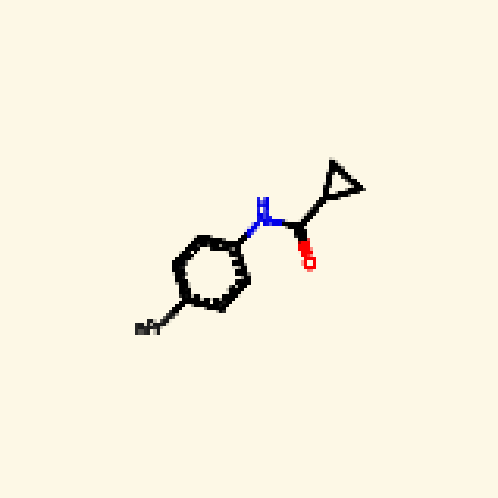 CCCc1ccc(NC(=O)C2CC2)cc1